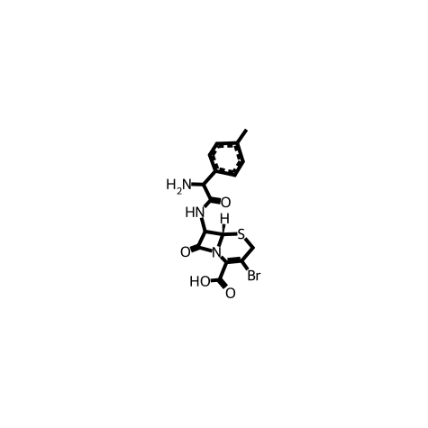 Cc1ccc(C(N)C(=O)NC2C(=O)N3C(C(=O)O)=C(Br)CS[C@@H]23)cc1